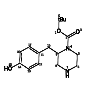 CC(C)(C)OC(=O)N1CCNCC1Cc1ccc(O)cc1